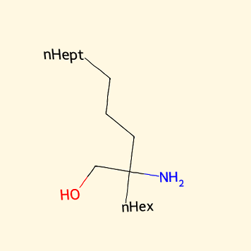 CCCCCCCCCCC(N)(CO)CCCCCC